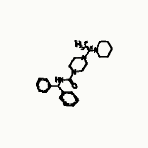 C[C@@H](N1CCCCC1)N1CCN(C(=O)NC(c2ccccc2)c2ccccc2)CC1